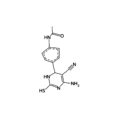 CC(=O)Nc1ccc(C2NC(S)=NC(N)=C2C#N)cc1